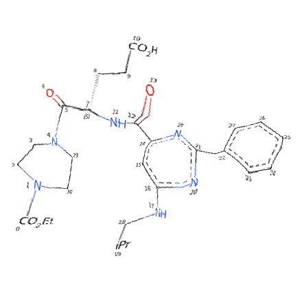 CCOC(=O)N1CCN(C(=O)[C@H](CCC(=O)O)NC(=O)c2cc(NCC(C)C)nc(-c3ccccc3)n2)CC1